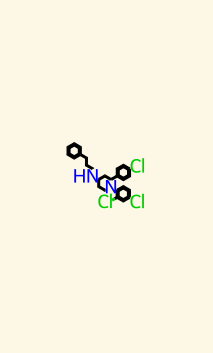 Clc1ccc(C2CC(NCCCc3ccccc3)CCN2c2ccc(Cl)cc2Cl)cc1